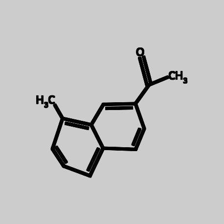 CC(=O)c1ccc2cccc(C)c2c1